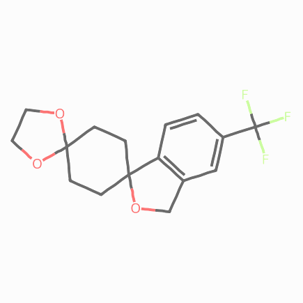 FC(F)(F)c1ccc2c(c1)COC21CCC2(CC1)OCCO2